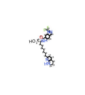 O=C(NC(CCCCCCCc1ccc2c(n1)NCCC2)C(=O)O)c1ccc2cnn(C(F)F)c2c1